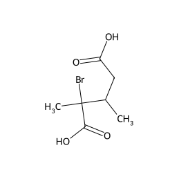 CC(CC(=O)O)C(C)(Br)C(=O)O